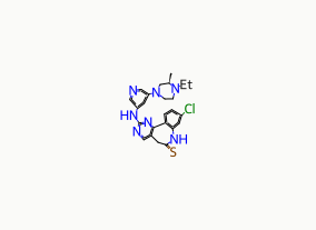 CCN1CCN(c2cncc(Nc3ncc4c(n3)-c3ccc(Cl)cc3NC(=S)C4)c2)C[C@H]1C